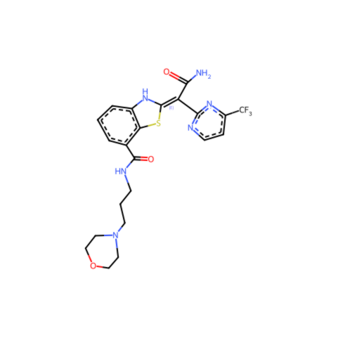 NC(=O)/C(=C1\Nc2cccc(C(=O)NCCCN3CCOCC3)c2S1)c1nccc(C(F)(F)F)n1